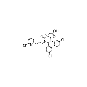 CC1(CC(=O)O)CC(c2cccc(Cl)c2)C(c2ccc(Cl)cc2)N(CCCc2cccc(Cl)n2)C1=O